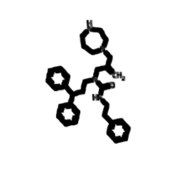 C=C(CN1CCCNCC1)CN(CCC(c1ccccc1)c1ccccc1)C(=O)NCCc1ccccc1